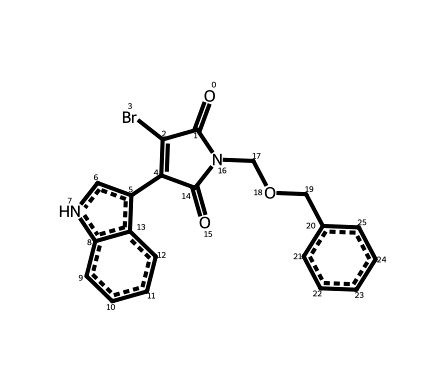 O=C1C(Br)=C(c2c[nH]c3ccccc23)C(=O)N1COCc1ccccc1